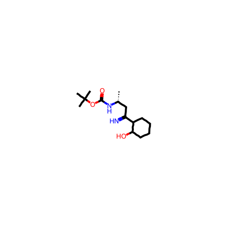 C[C@H](CC(=N)C1CCCCC1O)NC(=O)OC(C)(C)C